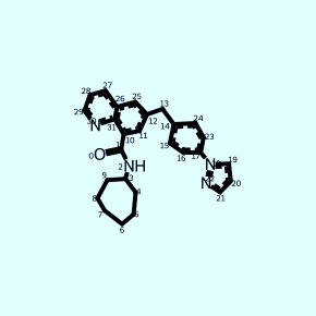 O=C(NC1CCCCCC1)c1cc(Cc2ccc(-n3cccn3)cc2)cc2cccnc12